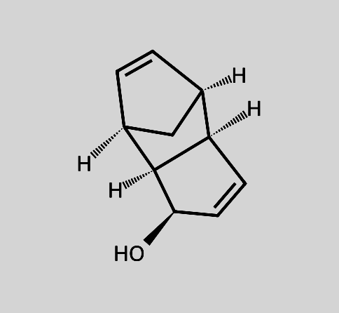 O[C@@H]1C=C[C@H]2[C@@H]1[C@H]1C=C[C@@H]2C1